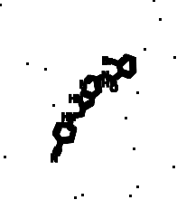 N#Cc1ccc(NCc2cc3cc(NC(=O)c4ccccc4Br)cnc3[nH]2)cc1